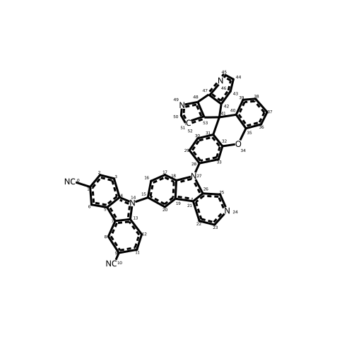 N#Cc1ccc2c(c1)c1cc(C#N)ccc1n2-c1ccc2c(c1)c1ccncc1n2-c1ccc2c(c1)Oc1ccccc1C21c2cccnc2-c2ncccc21